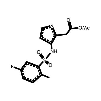 COC(=O)Cc1sccc1NS(=O)(=O)c1cc(F)ccc1C